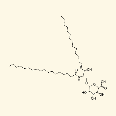 CCCCCCCCCCCCC/C=C/[C@@H](O)[C@H](CO[C@@H]1O[C@H](C(=O)O)[C@@H](O)C(O)C1O)NC(=O)CCCCCCCCCCCCCCCCC